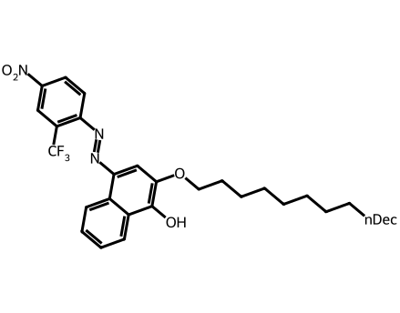 CCCCCCCCCCCCCCCCCCOc1cc(N=Nc2ccc([N+](=O)[O-])cc2C(F)(F)F)c2ccccc2c1O